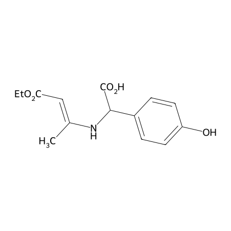 CCOC(=O)C=C(C)NC(C(=O)O)c1ccc(O)cc1